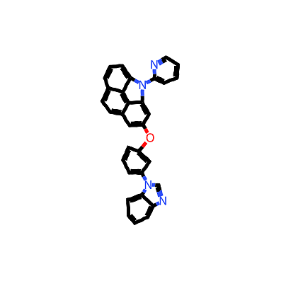 c1ccc(-n2c3cccc4ccc5cc(Oc6cccc(-n7cnc8ccccc87)c6)cc2c5c43)nc1